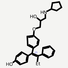 CC/C(=C(\c1ccc(O)cc1)c1ccc(OCC(O)CNC2CCCC2)cc1)c1ccccc1